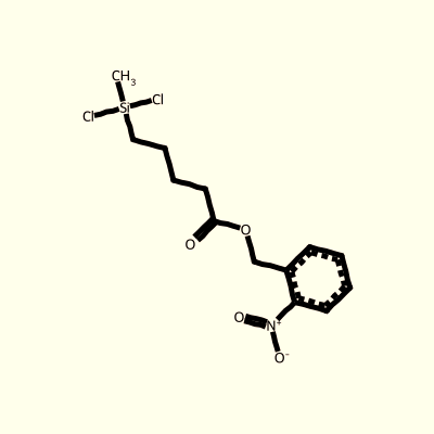 C[Si](Cl)(Cl)CCCCC(=O)OCc1ccccc1[N+](=O)[O-]